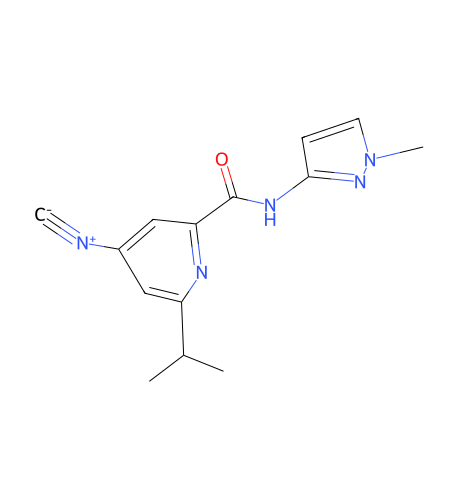 [C-]#[N+]c1cc(C(=O)Nc2ccn(C)n2)nc(C(C)C)c1